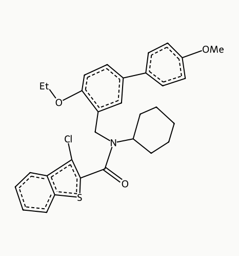 CCOc1ccc(-c2ccc(OC)cc2)cc1CN(C(=O)c1sc2ccccc2c1Cl)C1CCCCC1